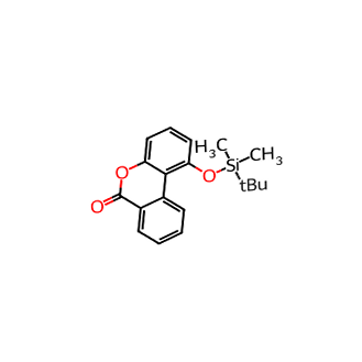 CC(C)(C)[Si](C)(C)Oc1cccc2oc(=O)c3ccccc3c12